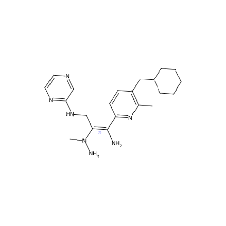 Cc1nc(/C(N)=C(\CNc2cnccn2)N(C)N)ccc1CC1CCCCC1